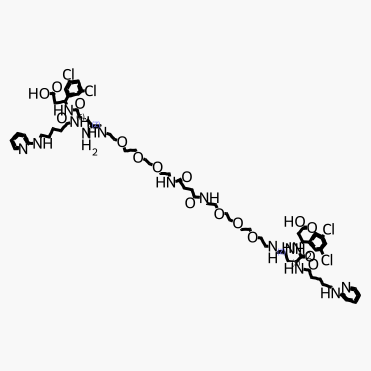 N/C(=C\NCCOCCOCCOCCNC(=O)CCC(=O)NCCOCCOCCOCCN/C=C(\N)C[C@H](NC(=O)CCCCNc1ccccn1)C(=O)NC(CC(=O)O)c1cc(Cl)cc(Cl)c1)C[C@H](NC(=O)CCCCNc1ccccn1)C(=O)NC(CC(=O)O)c1cc(Cl)cc(Cl)c1